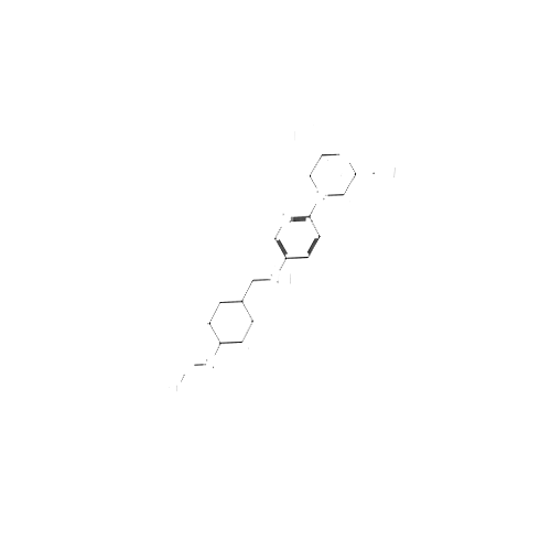 CC(C)SNC1CCC(CNc2ccc(N3C[C@@H](C)O[C@@H](C)C3)nc2)CC1